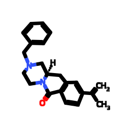 C=C(C)c1ccc2c(c1)C[C@@H]1CN(Cc3ccccc3)CCN1C2=O